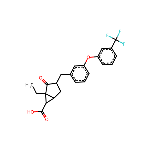 CCC12C(=O)C(Cc3cccc(Oc4cccc(C(F)(F)F)c4)c3)CC1C2C(=O)O